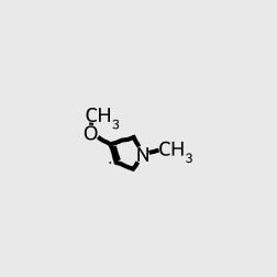 COC1=[C]CN(C)C1